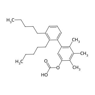 CCCCCc1cccc(-c2cc(OC(=O)O)c(C)c(C)c2C)c1CCCCC